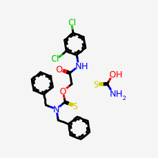 NC(O)=S.O=C(COC(=S)N(Cc1ccccc1)Cc1ccccc1)Nc1ccc(Cl)cc1Cl